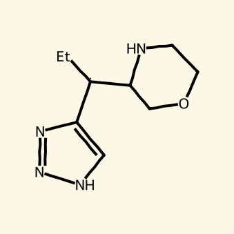 CC[C](c1c[nH]nn1)C1COCCN1